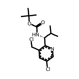 CC(C)[C@@H](NC(=O)OC(C)(C)C)c1ncc(Cl)cc1CCl